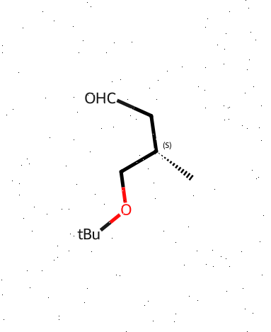 C[C@@H](CC=O)COC(C)(C)C